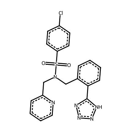 O=S(=O)(c1ccc(Cl)cc1)N(Cc1ccccn1)Cc1ccccc1-c1nnn[nH]1